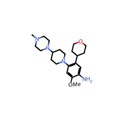 COc1cc(N2CCC(N3CCN(C)CC3)CC2)c(C2CCOCC2)cc1N